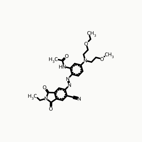 CCOCCN(CCOC)c1ccc(N=Nc2cc3c(cc2C#N)C(=O)N(CC)C3=O)c(NC(C)=O)c1